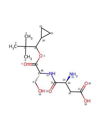 CC(C)(C)C(OC(=O)[C@@H](CO)NC(=O)[C@@H](N)CC(=O)O)C1CC1